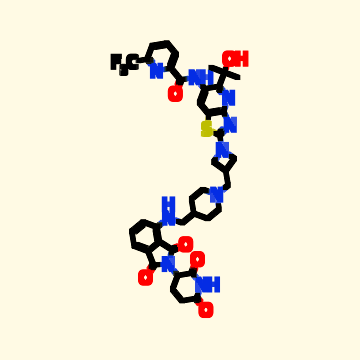 CC(C)(O)c1nc2nc(N3CC(CN4CCC(CNc5cccc6c5C(=O)N(C5CCC(=O)NC5=O)C6=O)CC4)C3)sc2cc1NC(=O)c1cccc(C(F)(F)F)n1